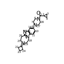 O=C(C1CC1)N1CCN(c2ccc3c(c2)nc2n3CCN(C3CCC3)CC2)CC1